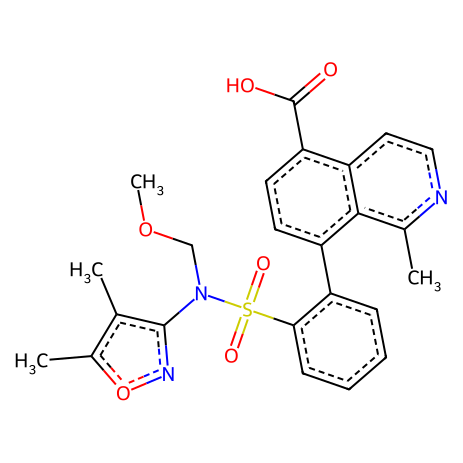 COCN(c1noc(C)c1C)S(=O)(=O)c1ccccc1-c1ccc(C(=O)O)c2ccnc(C)c12